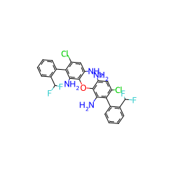 Nc1cc(Cl)c(-c2ccccc2C(F)F)c(N)c1Oc1c(N)cc(Cl)c(-c2ccccc2C(F)F)c1N